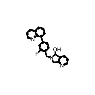 OC1c2cccnc2CN1Cc1ccc(-c2cccc3cccnc23)cc1F